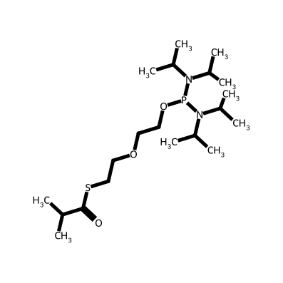 CC(C)C(=O)SCCOCCOP(N(C(C)C)C(C)C)N(C(C)C)C(C)C